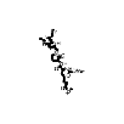 COC(=O)NC(CCC=CC(=O)N(C)C)C(=O)Nc1cccn(Cc2cc3nc(C)nc(CC(C)C)c3[nH]2)c1=O